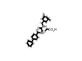 O=C(O)CC[C@H](NC(=O)c1ccc(-c2ccccc2)cc1)C(=O)NCc1cc(F)cc(F)c1